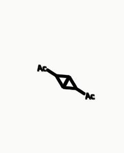 CC(=O)C1C2C(C(C)=O)C12